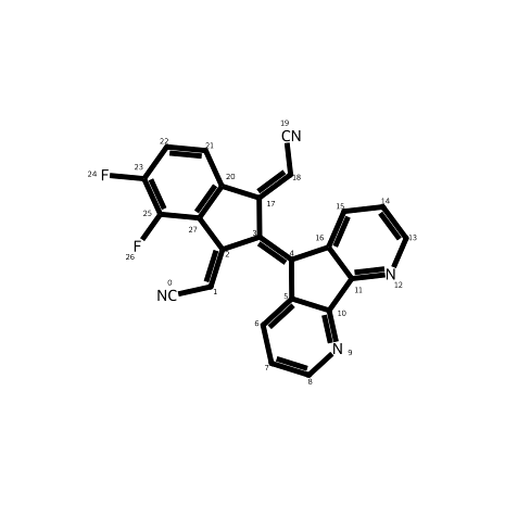 N#C/C=C1/C(=C2c3cccnc3-c3ncccc32)/C(=C/C#N)c2ccc(F)c(F)c21